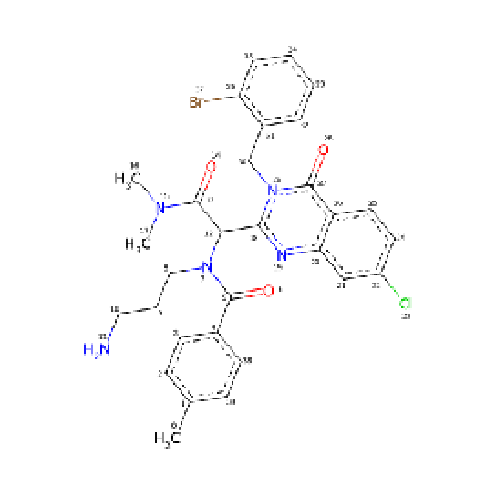 Cc1ccc(C(=O)N(CCCN)C(C(=O)N(C)C)c2nc3cc(Cl)ccc3c(=O)n2Cc2ccccc2Br)cc1